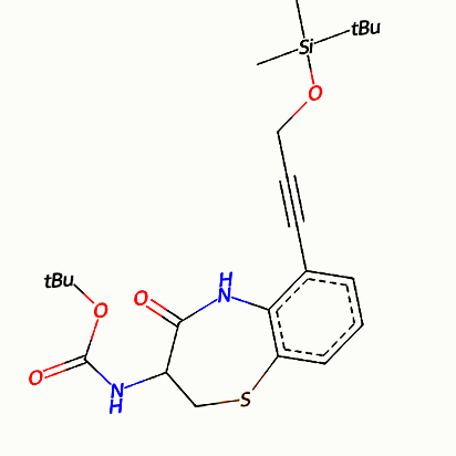 CC(C)(C)OC(=O)NC1CSc2cccc(C#CCO[Si](C)(C)C(C)(C)C)c2NC1=O